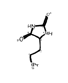 CC(C)CCC1NC(=O)NC1=O